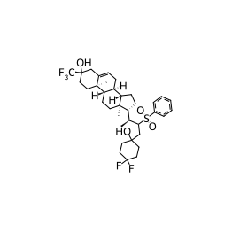 C[C@H](C(CC1(O)CCC(F)(F)CC1)S(=O)(=O)c1ccccc1)[C@H]1CC[C@H]2[C@@H]3CC=C4C[C@](O)(C(F)(F)F)CC[C@]4(C)[C@H]3CC[C@]12C